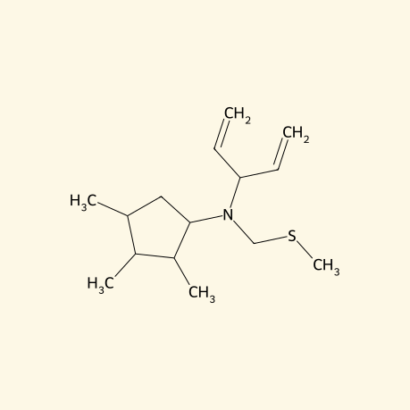 C=CC(C=C)N(CSC)C1CC(C)C(C)C1C